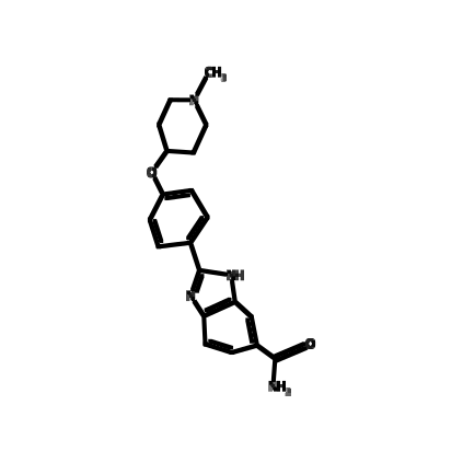 CN1CCC(Oc2ccc(-c3nc4ccc(C(N)=O)cc4[nH]3)cc2)CC1